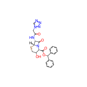 O=C(Cn1cnnn1)N[C@@H]1C(=O)N2[C@@H]1SCC(O)[C@@H]2C(=O)OC(c1ccccc1)c1ccccc1